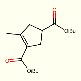 CC1=C(C(=O)OCC(C)C)CC(C(=O)OCC(C)C)C1